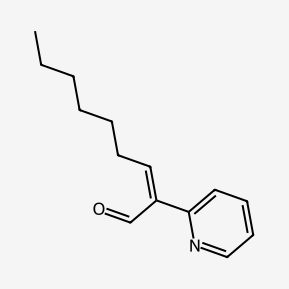 CCCCCCC=C(C=O)c1ccccn1